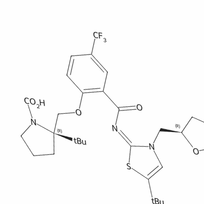 CC(C)(C)c1cn(C[C@H]2CCCO2)c(=NC(=O)c2cc(C(F)(F)F)ccc2OC[C@]2(C(C)(C)C)CCCN2C(=O)O)s1